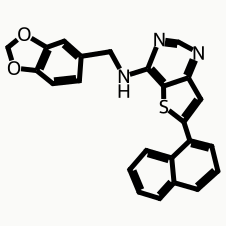 c1ccc2c(-c3cc4ncnc(NCc5ccc6c(c5)OCO6)c4s3)cccc2c1